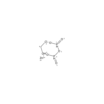 O=[PH]([O-])O[PH](=O)[O-].OCCl.[Zn+2]